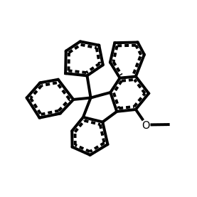 COc1cc2ccccc2c2c1-c1ccccc1C2(c1ccccc1)c1ccccc1